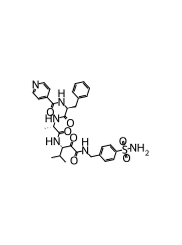 CC(C)[C@H](NC(=O)[C@H](C)NC(=O)[C@H](Cc1ccccc1)NC(=O)c1ccncc1)C(=O)C(=O)NCc1ccc(S(N)(=O)=O)cc1